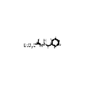 CCOC(=O)/C(C)=N/NCc1ccccc1